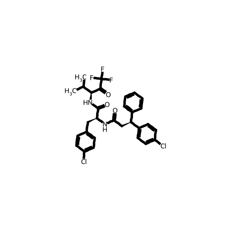 CC(C)[C@H](NC(=O)[C@H](Cc1ccc(Cl)cc1)NC(=O)C[C@@H](c1ccccc1)c1ccc(Cl)cc1)C(=O)C(F)(F)F